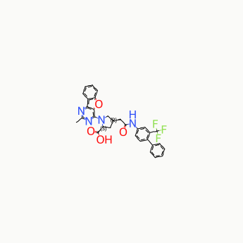 Cc1nc(N2C[C@@H](CC(=O)Nc3ccc(-c4ccccc4)c(C(F)(F)F)c3)C[C@H]2C(=O)O)c2oc3ccccc3c2n1